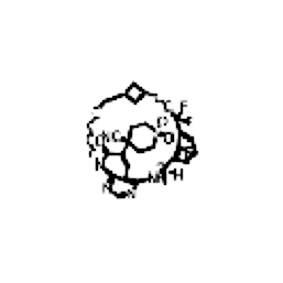 C[C@H]1Nc2ncnc3c2cc(C2(C#N)CCS(=O)(=O)CC2)c(=O)n3CCCCCC2CC(CCC(F)(F)c3cccc1c3F)C2